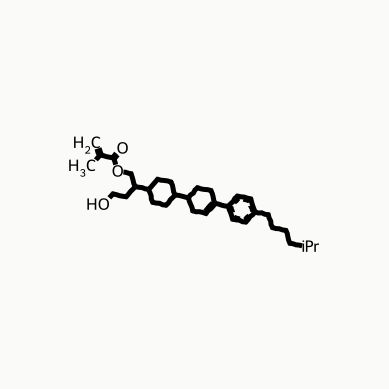 C=C(C)C(=O)OCC(CCO)C1CCC(C2CC=C(c3ccc(CCCCC(C)C)cc3)CC2)CC1